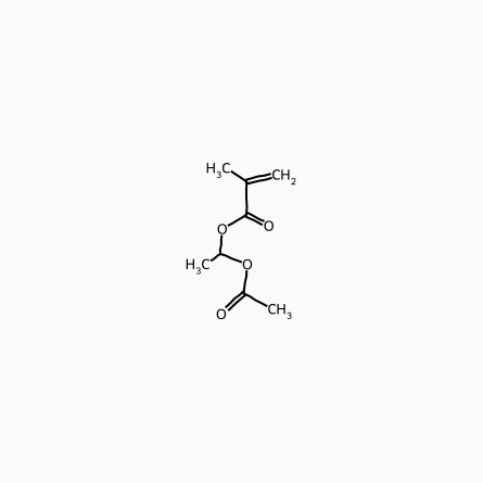 C=C(C)C(=O)OC(C)OC(C)=O